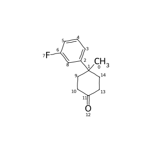 CC1(c2cccc(F)c2)CCC(=O)CC1